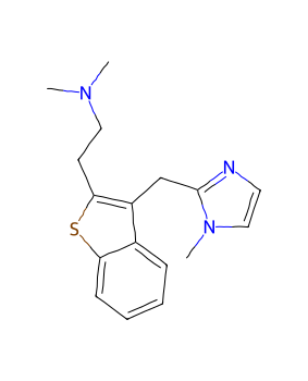 CN(C)CCc1sc2ccccc2c1Cc1nccn1C